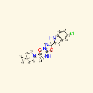 C[C@H](Nc1nnc([C@@H]2Cc3cc(Cl)ccc3N2)o1)C(=O)N1CCC2(CC1)CC2